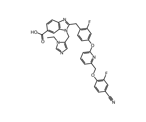 CCn1cncc1Cn1c(Cc2ccc(Oc3cccc(COc4ccc(C#N)cc4F)n3)cc2F)nc2ccc(C(=O)O)cc21